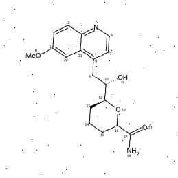 COc1ccc2nccc(C[C@H](O)[C@@H]3CC[C]C(C(N)=O)O3)c2c1